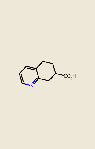 O=C(O)C1CCc2cccnc2C1